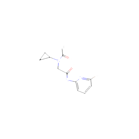 CC(=O)N(CC(=O)Nc1cccc(Br)n1)C1CC1